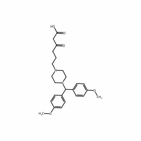 COc1ccc(C(c2ccc(OC)cc2)N2CCN(CCCC(=O)CC(=O)O)CC2)cc1